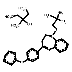 CC(C)(N)CSN1CCC(c2ccc(Sc3ccccc3)cc2)=Nc2ccccc21.O=C(O)CC(O)(CC(=O)O)C(=O)O